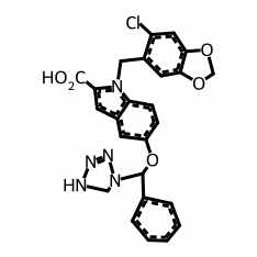 O=C(O)c1cc2cc(OC(c3ccccc3)N3CNN=N3)ccc2n1Cc1cc2c(cc1Cl)OCO2